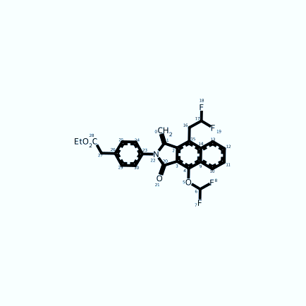 C=C1c2c(c(OC(F)F)c3ccccc3c2CC(F)F)C(=O)N1c1ccc(CC(=O)OCC)cc1